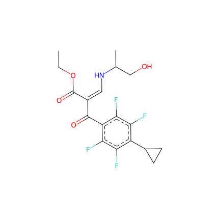 CCOC(=O)C(=CNC(C)CO)C(=O)c1c(F)c(F)c(C2CC2)c(F)c1F